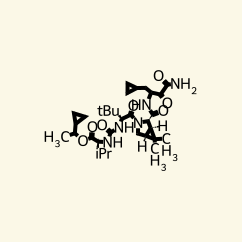 CC(OC(=O)[C@@H](NC(=O)N[C@H](C(=O)N1C[C@H]2[C@@H]([C@H]1C(=O)NC(CC1CC1)C(=O)C(N)=O)C2(C)C)C(C)(C)C)C(C)C)C1CC1